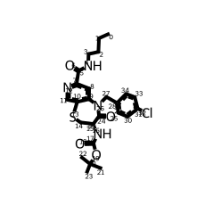 CCCCNC(=O)c1cc2c(cn1)SC[C@H](NC(=O)OC(C)(C)C)C(=O)N2Cc1ccc(Cl)cc1